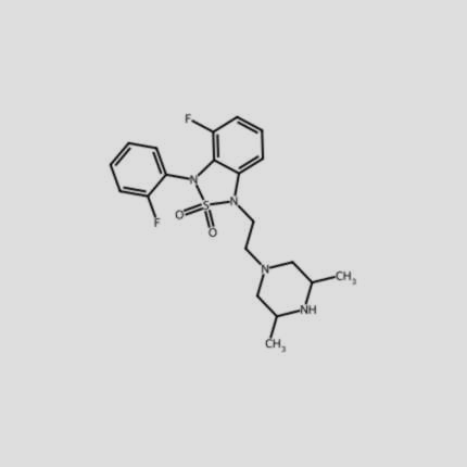 CC1CN(CCN2c3cccc(F)c3N(c3ccccc3F)S2(=O)=O)CC(C)N1